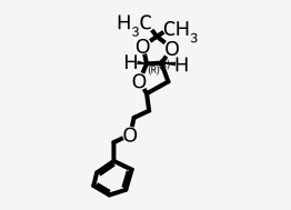 CC1(C)O[C@H]2OC(CCOCc3ccccc3)C[C@H]2O1